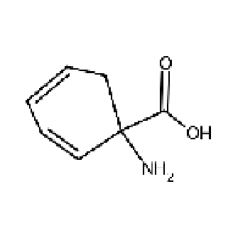 NC1(C(=O)O)C=CC=CC1